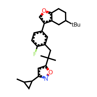 CC1CC1c1cc(C(C)(C)Cc2cc(-c3coc4c3CC(C(C)(C)C)CC4)ccc2F)on1